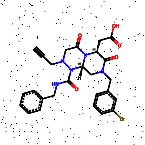 C#CCN1CC(=O)N2[C@@H](CC(=O)O)C(=O)N(Cc3cccc(Br)c3)C[C@@H]2N1C(=O)NCc1ccccc1